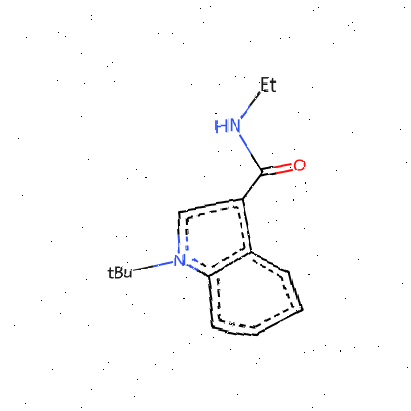 CCNC(=O)c1cn(C(C)(C)C)c2ccccc12